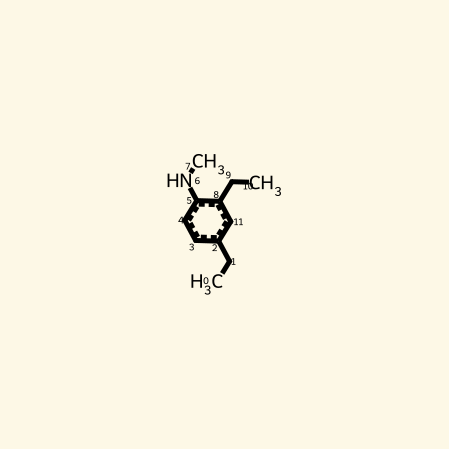 CCc1ccc(NC)c(CC)c1